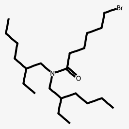 CCCCC(CC)CN(CC(CC)CCCC)C(=O)CCCCCBr